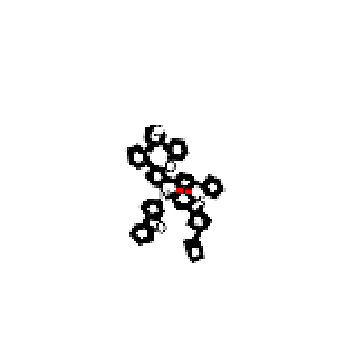 c1ccc(-c2ccc(-c3c(N(c4ccc5c(c4)oc4ccccc45)c4ccc5sc6ccc(C7CC8CCC7C8)cc6c5c4)ccc4c3oc3ccccc3c3ccccc3c3ccccc43)cc2)cc1